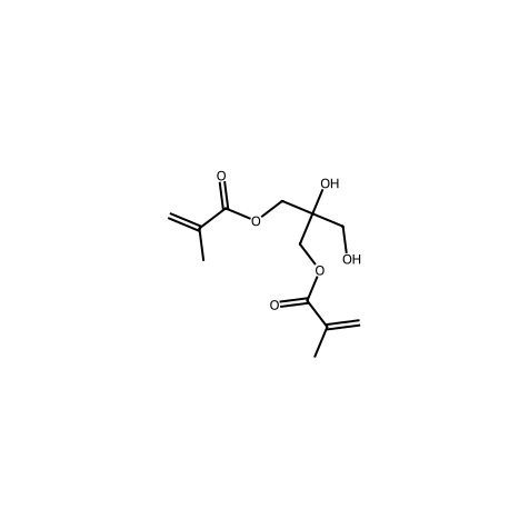 C=C(C)C(=O)OCC(O)(CO)COC(=O)C(=C)C